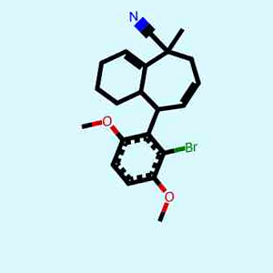 COc1ccc(OC)c(C2C=CCC(C)(C#N)C3=CCCCC32)c1Br